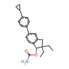 CCC1(CC)Cc2cc(-c3ccc(C4CC4)cc3)ccc2C1OC(N)=O